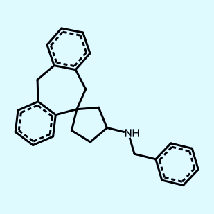 c1ccc(CNC2CCC3(Cc4ccccc4Cc4ccccc43)C2)cc1